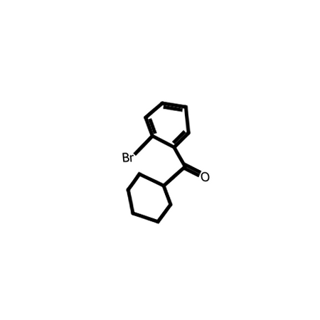 O=C(c1ccccc1Br)C1CCCCC1